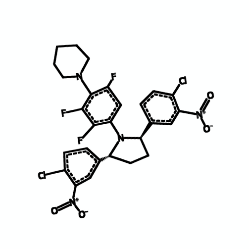 O=[N+]([O-])c1cc([C@H]2CC[C@H](c3ccc(Cl)c([N+](=O)[O-])c3)N2c2cc(F)c(N3CCCCC3)c(F)c2F)ccc1Cl